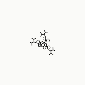 CC(C)C(COC(=O)CC(O)(CC(=O)OCC(C(C)C)C(C)C)C(=O)OCC(C(C)C)C(C)C)C(C)C